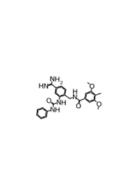 COc1cc(C(=O)NCc2ccc(C(=N)N)cc2NC(=O)Nc2ccccc2)cc(OC)c1C